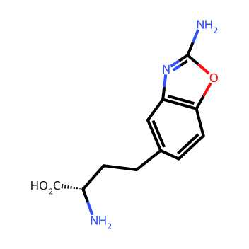 Nc1nc2cc(CC[C@H](N)C(=O)O)ccc2o1